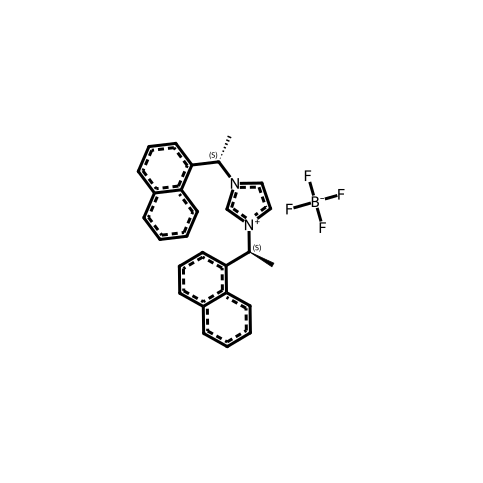 C[C@@H](c1cccc2ccccc12)n1cc[n+]([C@@H](C)c2cccc3ccccc23)c1.F[B-](F)(F)F